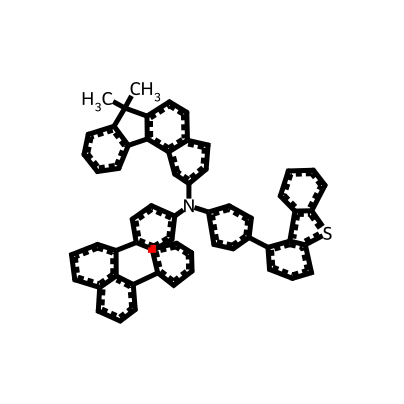 CC1(C)c2ccccc2-c2c1ccc1ccc(N(c3ccc(-c4cccc5cccc(-c6ccccc6)c45)cc3)c3ccc(-c4cccc5sc6ccccc6c45)cc3)cc21